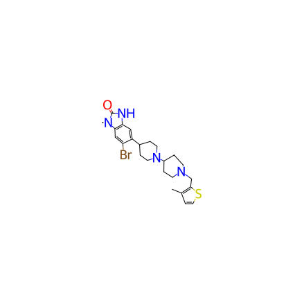 Cc1ccsc1CN1CCC(N2CCC(c3cc4c(cc3Br)[N]C(=O)N4)CC2)CC1